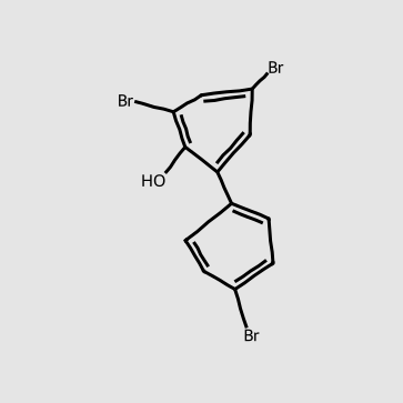 Oc1c(Br)cc(Br)cc1-c1ccc(Br)cc1